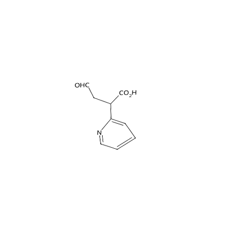 O=CCC(C(=O)O)c1ccccn1